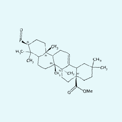 COC(=O)[C@]12CCC(C)(C)CC1C1=CCC3[C@@]4(C)CC[C@H](P=O)C(C)(C)C4CC[C@@]3(C)[C@]1(C)CC2